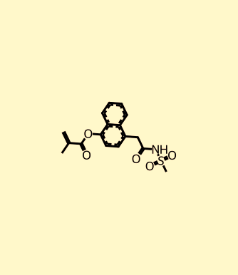 C=C(C)C(=O)Oc1ccc(CC(=O)NS(C)(=O)=O)c2ccccc12